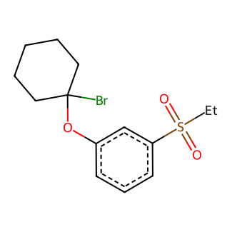 CCS(=O)(=O)c1cccc(OC2(Br)CCCCC2)c1